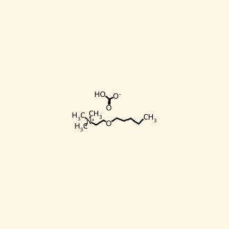 CCCCCOCC[N+](C)(C)C.O=C([O-])O